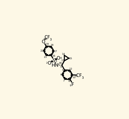 O=S(=O)(N[C@@H](c1ccc(F)c(C(F)(F)F)c1)C1CC1)c1ccc(OC(F)(F)F)cc1